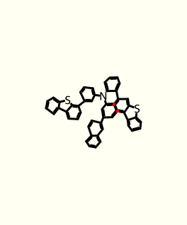 c1cc(-c2ccc3ccccc3c2)cc(N(c2cccc(-c3cccc4c3sc3ccccc34)c2)c2ccccc2-c2ccc3c(c2)sc2ccccc23)c1